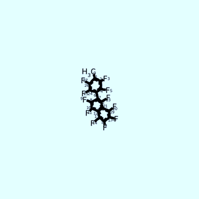 Cc1c(F)c(F)c(-c2c(F)c(F)c3c(F)c(F)c(F)c(F)c3c2F)c(F)c1F